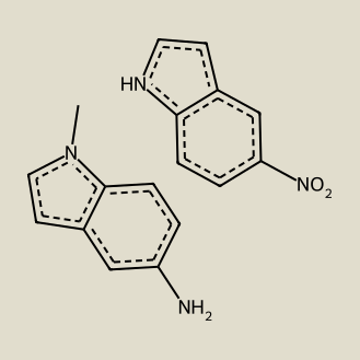 Cn1ccc2cc(N)ccc21.O=[N+]([O-])c1ccc2[nH]ccc2c1